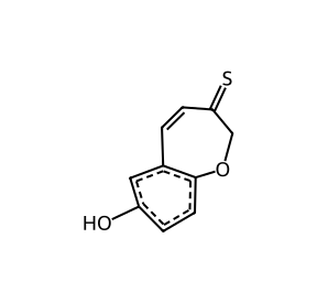 Oc1ccc2c(c1)C=CC(=S)CO2